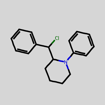 ClC(c1ccccc1)C1CCCCN1c1ccccc1